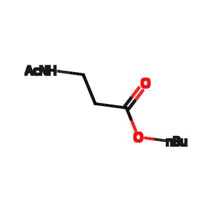 CCCCOC(=O)CCNC(C)=O